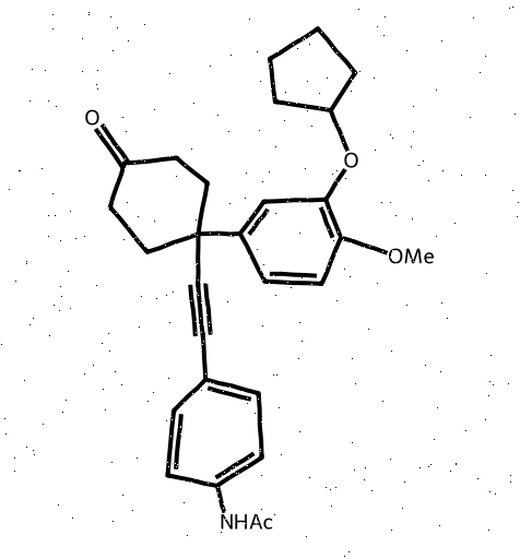 COc1ccc(C2(C#Cc3ccc(NC(C)=O)cc3)CCC(=O)CC2)cc1OC1CCCC1